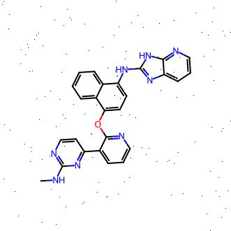 CNc1nccc(-c2cccnc2Oc2ccc(Nc3nc4cccnc4[nH]3)c3ccccc23)n1